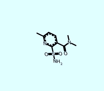 Cc1ccc(C(=O)N(C)C)c(S(N)(=O)=O)n1